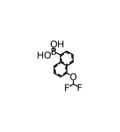 OB(O)c1cccc2c(OC(F)F)cccc12